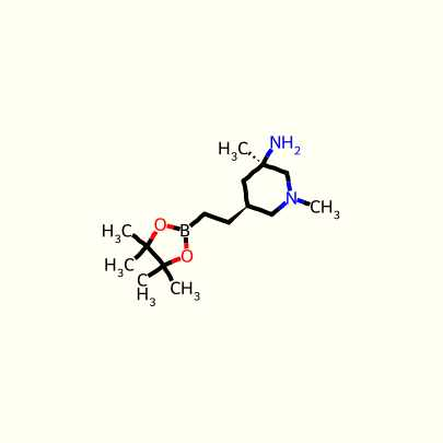 CN1C[C@@H](CCB2OC(C)(C)C(C)(C)O2)C[C@@](C)(N)C1